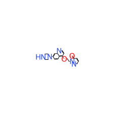 O=c1cccnn1CCOc1ccnc2cc(N3CCNCC3)ccc12